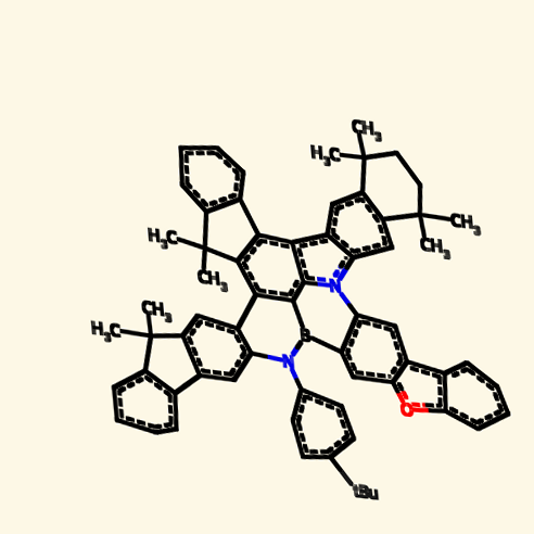 CC(C)(C)c1ccc(N2B3c4cc5oc6ccccc6c5cc4-n4c5cc6c(cc5c5c7c(c(c3c54)-c3cc4c(cc32)-c2ccccc2C4(C)C)C(C)(C)c2ccccc2-7)C(C)(C)CCC6(C)C)cc1